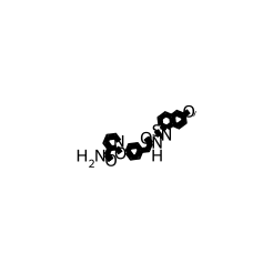 COc1ccc2c(c1)CCc1sc(NC(=O)Cc3ccc(Oc4ncccc4C(N)=O)cc3)nc1-2